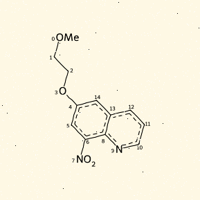 COCCOc1cc([N+](=O)[O-])c2ncccc2c1